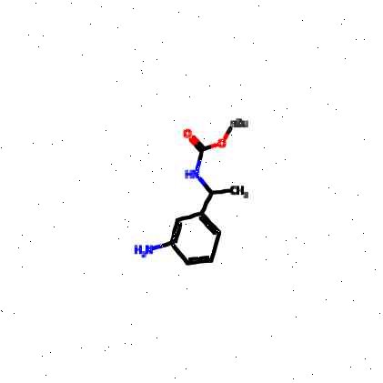 CCCCOC(=O)NC(C)c1cccc(N)c1